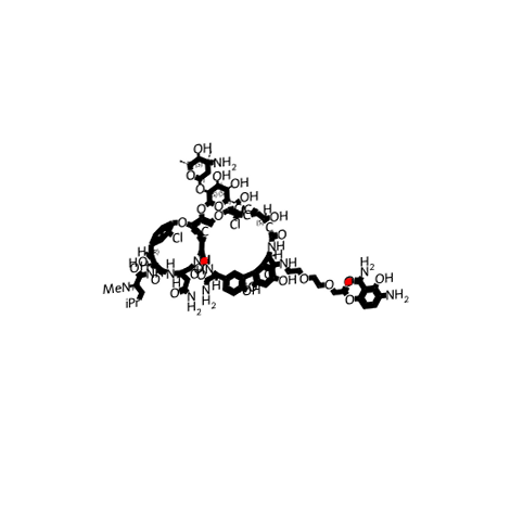 CN[C@H](CC(C)C)C(=O)N[C@H]1C(=O)N[C@@H](CC(N)=O)C(=O)N[C@H]2C(=O)N[C@@H](C(N)=O)c3ccc(O)c(c3)-c3c(O)cc(O)cc3[C@H](C(=O)NCCOCCOCC(=O)Oc3ccc(N)c(O)c3C(N)=O)NC(=O)C[C@H](O)c3ccc(c(Cl)c3)Oc3cc2cc(c3OC2O[C@@H](CO)[C@@H](O)[C@H](O)[C@@H]2O[C@@H]2C[C@](C)(N)[C@H](O)[C@@H](C)O2)Oc2ccc(cc2Cl)[C@H]1O